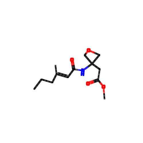 CCC/C(C)=C/C(=O)NC1(CC(=O)OC)COC1